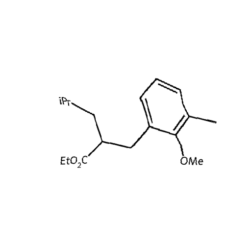 CCOC(=O)C(Cc1cccc(C)c1OC)CC(C)C